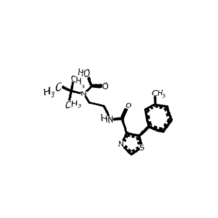 Cc1cccc(-c2scnc2C(=O)NCCN(C(=O)O)C(C)(C)C)c1